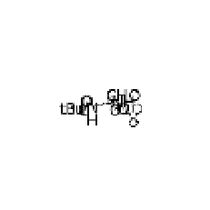 CC(C)(C)OC(=O)NCCCC[C@@H](C=O)NC(=O)OCC1c2ccccc2-c2ccccc21